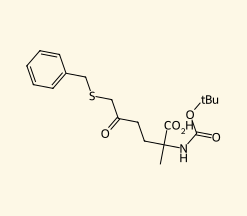 CC(C)(C)OC(=O)NC(C)(CCC(=O)CSCc1ccccc1)C(=O)O